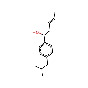 CC=CCC(O)c1ccc(CC(C)C)cc1